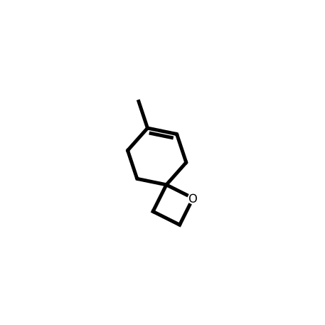 CC1=CCC2(CCO2)CC1